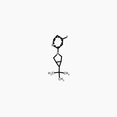 CC(C)(C)C1C2CN(c3cc(F)ccn3)CC21